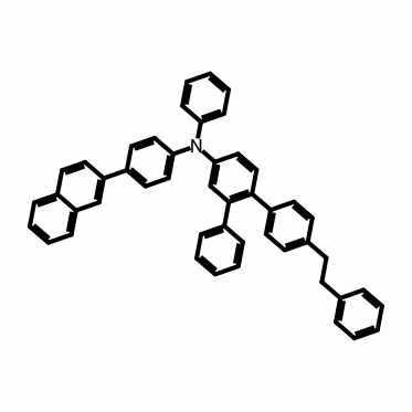 c1ccc(CCc2ccc(-c3ccc(N(c4ccccc4)c4ccc(-c5ccc6ccccc6c5)cc4)cc3-c3ccccc3)cc2)cc1